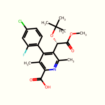 COC(=O)[C@@H](OC(C)(C)C)c1c(C)nc(C(=O)O)c(C)c1-c1ccc(Cl)cc1F